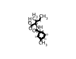 CCC(C)C(NC(=O)c1cccc(C)c1)C(=O)O